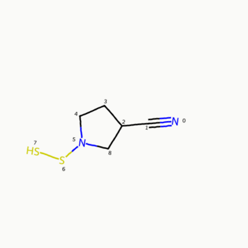 N#CC1CCN(SS)C1